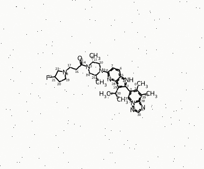 Cc1c(-c2[nH]c3ccc(N4C[C@@H](C)N(C(=O)CCN5CCC(F)C5)C[C@@H]4C)nc3c2C(C)C)cn2ncnc2c1C